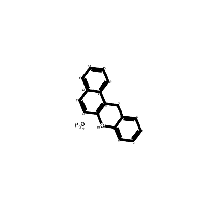 O.c1ccc2c(c1)Cc1c(ccc3ccccc13)O2